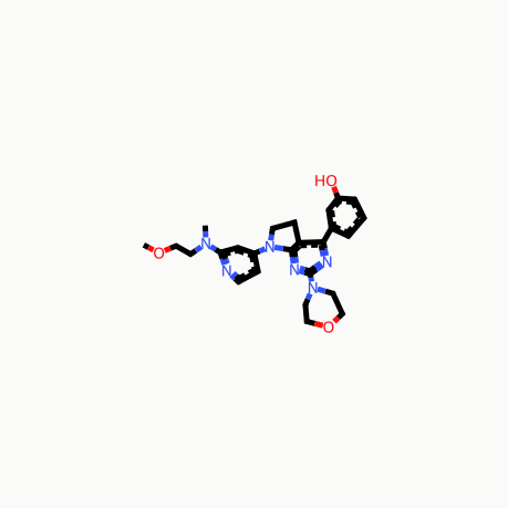 COCCN(C)c1cc(N2CCc3c(-c4cccc(O)c4)nc(N4CCOCC4)nc32)ccn1